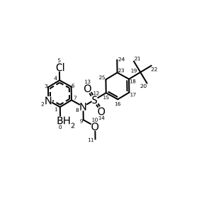 Bc1ncc(Cl)cc1N(COC)S(=O)(=O)C1=CC=C(C(C)(C)C)C(C)C1